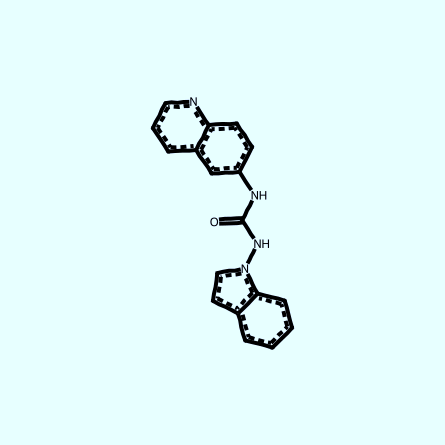 O=C(Nc1ccc2ncccc2c1)Nn1ccc2ccccc21